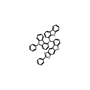 c1ccc(-c2nc3cc4c(cc3o2)oc2cccc(N(c3cccc5c3sc3ccccc35)c3cccc5c3c3ccccc3n5-c3ccccc3)c24)cc1